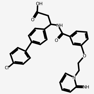 N=c1ccccn1CCOc1cccc(C(=O)NC(CC(=O)O)c2ccc(-c3ccc(Cl)cc3)cc2)c1